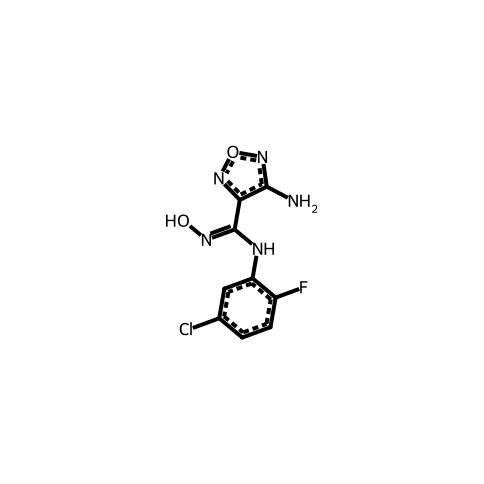 Nc1nonc1/C(=N\O)Nc1cc(Cl)ccc1F